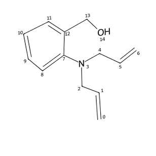 C=CCN(CC=C)c1ccccc1CO